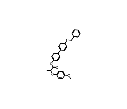 COc1ccc(OC(C)C(=O)Oc2ccc(-c3ccc(OCc4ccccc4)cc3)cc2)cc1